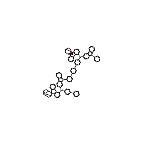 c1ccc(-c2ccc(N(c3ccc4c5ccccc5n(-c5cccc(-c6ccc(-c7ccc(N(c8ccc9c(c8)c8ccccc8n9-c8ccccc8)c8cccc9c8-c8ccccc8C98C9CC%10CC(C9)CC8C%10)cc7)cc6)c5)c4c3)c3cccc4c3-c3ccccc3C43C4CC5CC(C4)CC3C5)cc2)cc1